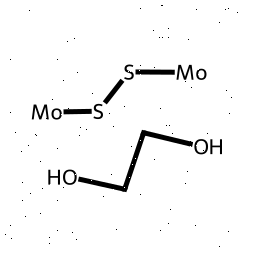 OCCO.[Mo][S][S][Mo]